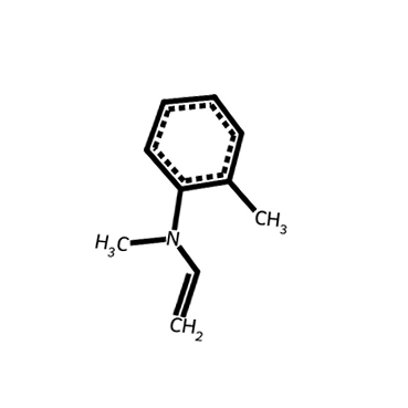 C=CN(C)c1ccccc1C